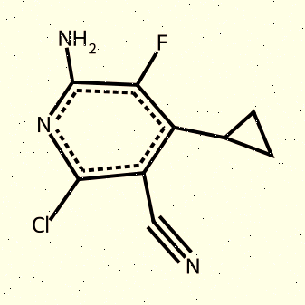 N#Cc1c(Cl)nc(N)c(F)c1C1CC1